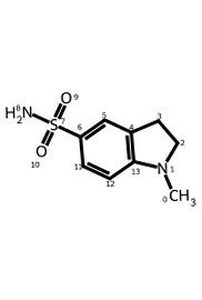 CN1CCc2cc(S(N)(=O)=O)ccc21